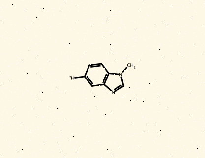 [2H]c1ccc2c(c1)ncn2C